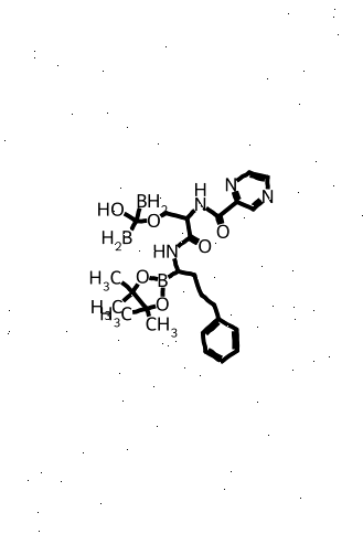 BC(B)(O)OCC(NC(=O)c1cnccn1)C(=O)NC(CCCc1ccccc1)B1OC(C)(C)C(C)(C)O1